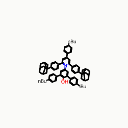 CCCCc1ccc(-c2cc(-c3ccc(C45CC6CC(CC(C6)C4)C5)cc3)[n+](-c3cc(-c4ccc(CCCC)cc4)c(O)c(-c4ccc(C(C)CC)cc4)c3)c(-c3ccc(C45CC6CC(CC(C6)C4)C5)cc3)c2)cc1